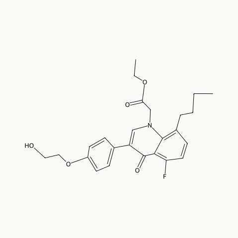 CCCCc1ccc(F)c2c(=O)c(-c3ccc(OCCO)cc3)cn(CC(=O)OCC)c12